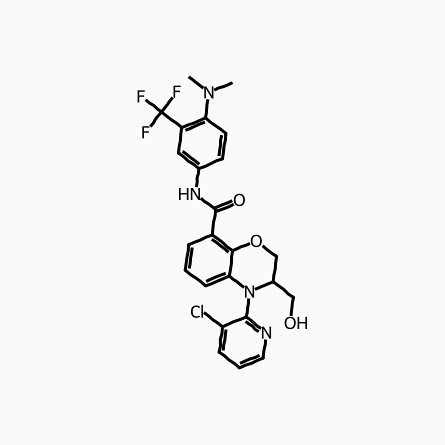 CN(C)c1ccc(NC(=O)c2cccc3c2OCC(CO)N3c2ncccc2Cl)cc1C(F)(F)F